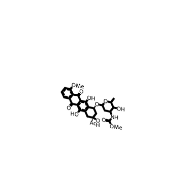 COC(=O)NC1CC(O[C@H]2C[C@](O)(C(C)=O)Cc3c(O)c4c(c(O)c32)C(=O)c2c(OC)cccc2C4=O)OC(C)C1O